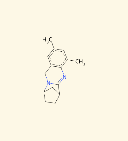 Cc1cc(C)c2c(c1)CN1C(=N2)C2CCC1C2